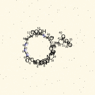 CO[C@H]1C[C@@H]2CC[C@@H](C)[C@@](O)(O2)C(=O)C(=O)N2CCCC[C@H]2C(=O)O[C@H]([C@H](C)C[C@@H]2CCC(OP(C)(C)=O)[C@H](OC)C2)CC(=O)[C@H](C)/C=C/[C@@H](O)[C@@H](OC)C(=O)[C@H](C)C[C@H](C)/C=C/C=C/C=C/1C